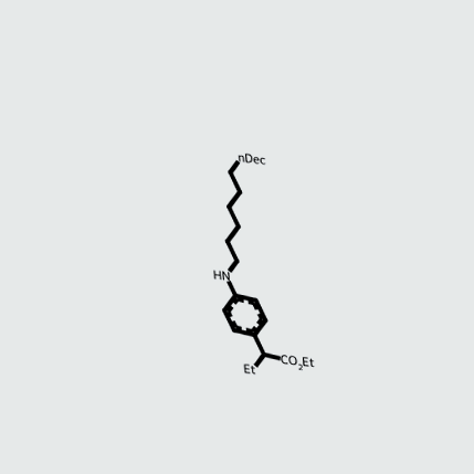 CCCCCCCCCCCCCCCCNc1ccc(C(CC)C(=O)OCC)cc1